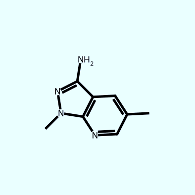 Cc1cnc2c(c1)c(N)nn2C